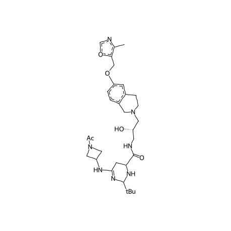 CC(=O)N1CC(NC2=NC(C(C)(C)C)NC(C(=O)NC[C@H](O)CN3CCc4cc(OCc5ocnc5C)ccc4C3)C2)C1